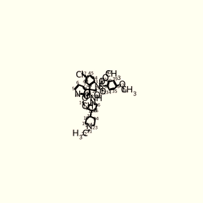 CCOc1ncccc1C1(C(=O)NN2CCC(C3CCN(CC)CC3)CC2)C(=O)N(S(=O)(=O)c2ccc(OC)cc2OC)c2ccc(Cl)cc21